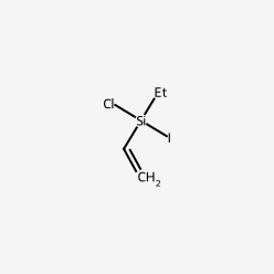 C=C[Si](Cl)(I)CC